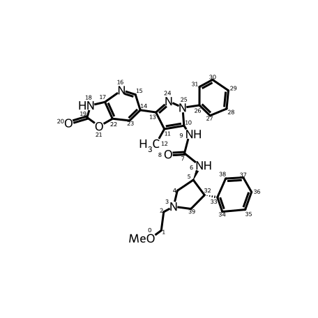 COCCN1C[C@@H](NC(=O)Nc2c(C)c(-c3cnc4[nH]c(=O)oc4c3)nn2-c2ccccc2)[C@H](c2ccccc2)C1